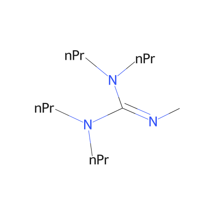 CCCN(CCC)C(=NC)N(CCC)CCC